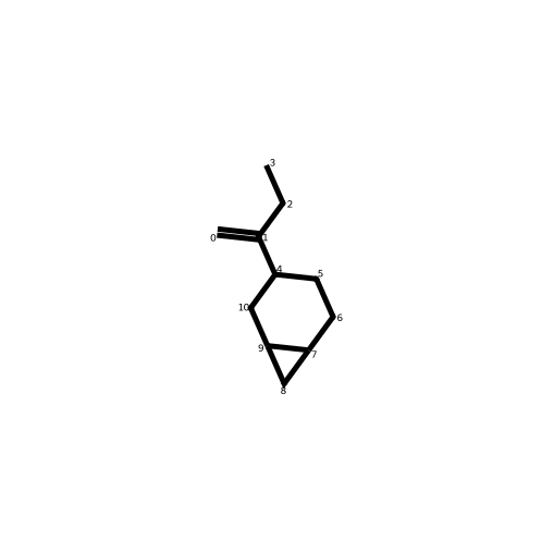 C=C(CC)C1CCC2CC2C1